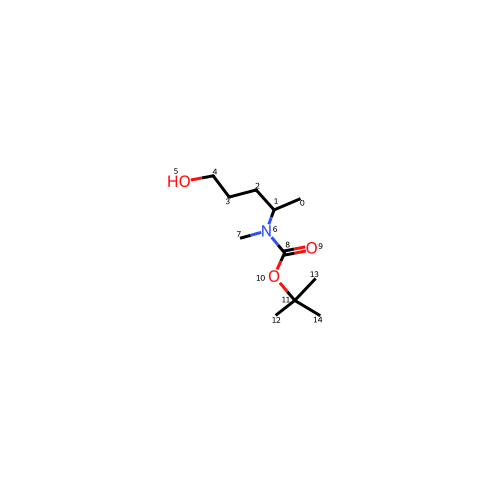 CC(CCCO)N(C)C(=O)OC(C)(C)C